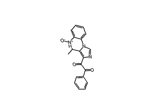 CC1c2c(C(=O)C(=O)c3ccccc3)ncn2-c2ccccc2[NH+]1[O-]